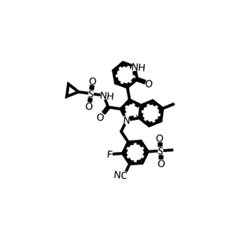 Cc1ccc2c(c1)c(-c1ccc[nH]c1=O)c(C(=O)NS(=O)(=O)C1CC1)n2Cc1cc(S(C)(=O)=O)cc(C#N)c1F